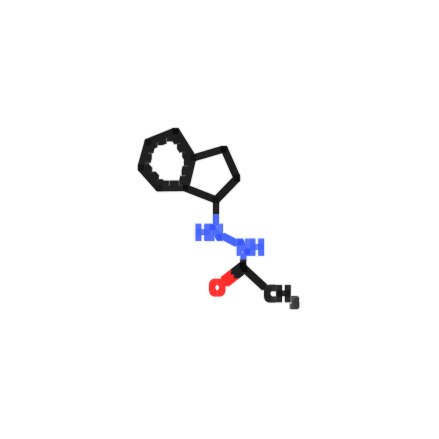 CC(=O)NNC1CCc2ccccc21